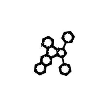 c1ccc(-c2cc(-c3ccccc3)n3c4cccnc4c4cc5ccccc5cc4c23)cc1